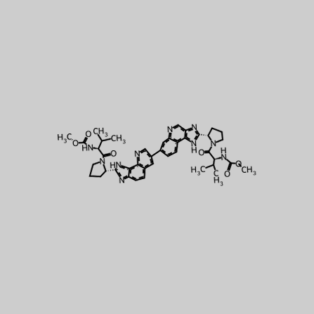 COC(=O)N[C@H](C(=O)N1CCC[C@H]1c1nc2cnc3cc(-c4cnc5c(ccc6nc([C@@H]7CCCN7C(=O)[C@@H](NC(=O)OC)C(C)C)[nH]c65)c4)ccc3c2[nH]1)C(C)C